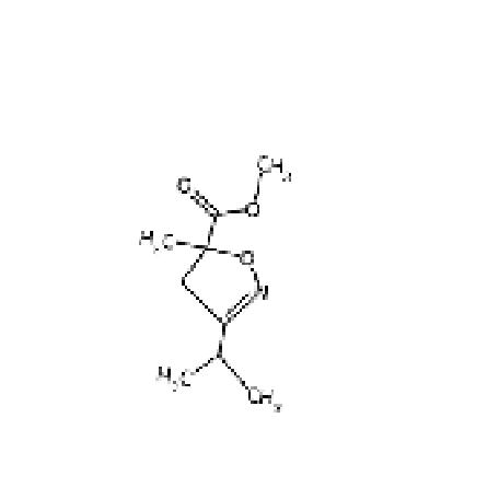 COC(=O)C1(C)CC(C(C)C)=NO1